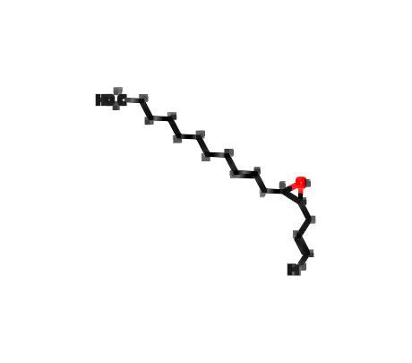 CCC=CCC1OC1CC=CCCCCCCCC(=O)O